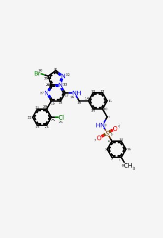 Cc1ccc(S(=O)(=O)NCc2cccc(CNc3cc(-c4ccccc4Cl)nc4c(Br)cnn34)c2)cc1